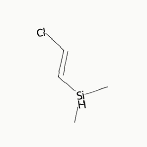 C[SiH](C)C=CCl